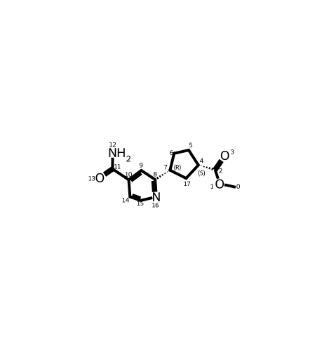 COC(=O)[C@H]1CC[C@@H](c2cc(C(N)=O)ccn2)C1